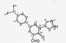 O=Cc1cc(-c2ccc(C(F)F)cc2)nn(-c2cn[nH]c2)c1=O